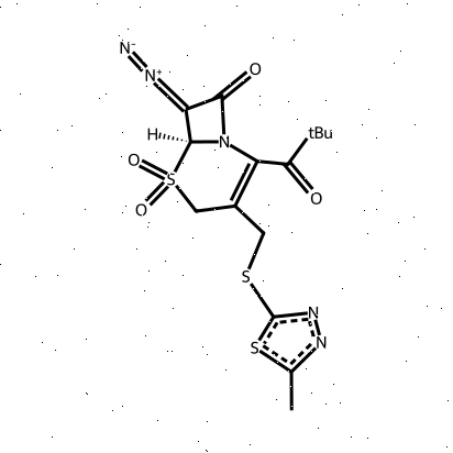 Cc1nnc(SCC2=C(C(=O)C(C)(C)C)N3C(=O)C(=[N+]=[N-])[C@@H]3S(=O)(=O)C2)s1